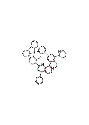 c1ccc(-c2nc(-c3ccccc3)nc(-c3cccc4c3Sc3c(-c5cc(-c6ccccn6)nc(-c6ccccn6)c5)cccc3C43c4ccccc4-c4ccccc43)n2)cc1